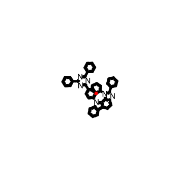 c1ccc(-c2nc(-c3ccccc3)nc(-c3ccc(-n4c5ccccc5c5ccc6nc(-c7ccccc7)n(-c7ccccc7)c6c54)cc3)n2)cc1